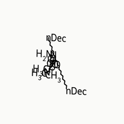 CCCCCCCCCCCCCCCCCCCCOCC(CN(CCCCCCCCCCCCCCCC)C(N)=O)OP(=O)([O-])OCC[N+](C)(C)C